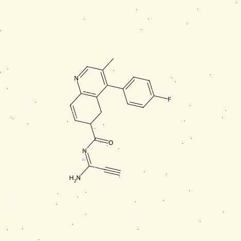 C#C/C(N)=N\C(=O)C1C=Cc2ncc(C)c(-c3ccc(F)cc3)c2C1